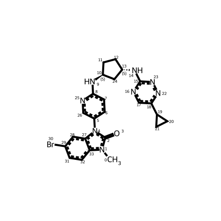 Cn1c(=O)n(-c2ccc(N[C@H]3CC[C@H](Nc4ncc(C5CC5)nn4)C3)nc2)c2cc(Br)ccc21